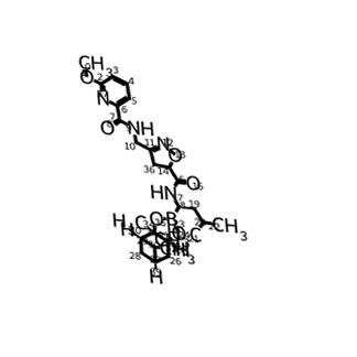 COc1cccc(C(=O)NCC2=NOC(C(=O)N[C@@H](CC(C)C)B3O[C@@H]4C[C@@H]5C[C@@H](C5(C)C)[C@]4(C)O3)C2)n1